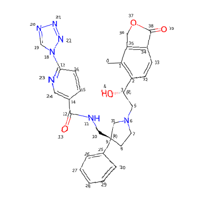 Cc1c([C@@H](O)CN2CC[C@](CNC(=O)c3ccc(-n4cnnn4)nc3)(c3ccccc3)C2)ccc2c1COC2=O